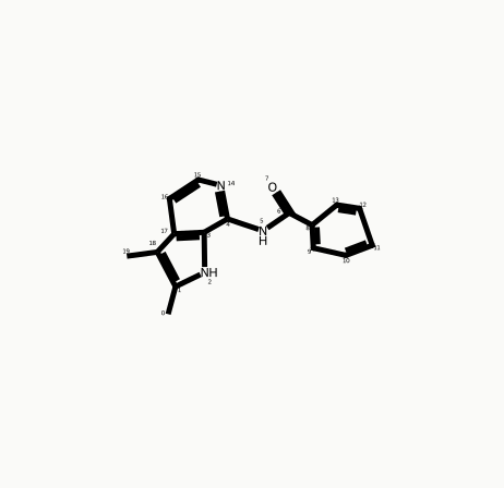 Cc1[nH]c2c(NC(=O)c3ccccc3)nccc2c1C